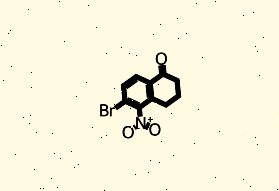 O=C1CCCc2c1ccc(Br)c2[N+](=O)[O-]